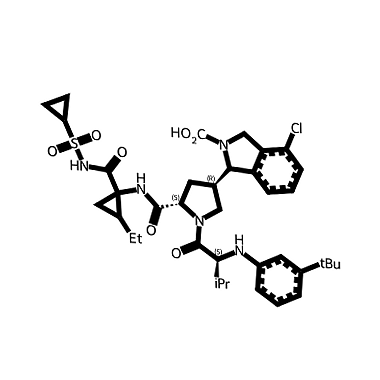 CCC1CC1(NC(=O)[C@@H]1C[C@@H](C2c3cccc(Cl)c3CN2C(=O)O)CN1C(=O)[C@@H](Nc1cccc(C(C)(C)C)c1)C(C)C)C(=O)NS(=O)(=O)C1CC1